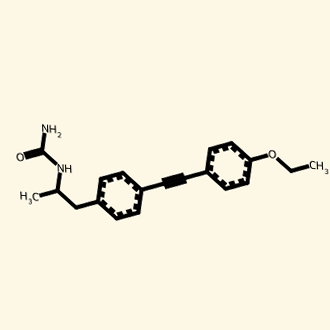 CCOc1ccc(C#Cc2ccc(CC(C)NC(N)=O)cc2)cc1